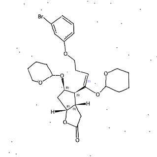 O=C1C[C@H]2[C@H](/C(=C\CCOc3cccc(Br)c3)OC3CCCCO3)[C@H](OC3CCCCO3)C[C@H]2O1